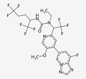 CCN(C(=O)NC(CCC(F)(F)F)C(F)(F)F)C(c1cc(-c2cc(F)c3ncnn3c2)c(OC)cn1)C(F)(F)F